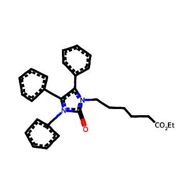 CCOC(=O)CCCCCn1c(-c2ccccc2)c(-c2ccccc2)n(-c2ccccc2)c1=O